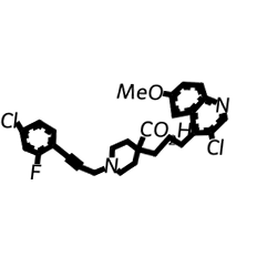 COc1ccc2ncc(Cl)c(CCCC3(C(=O)O)CCN(CC#Cc4ccc(Cl)cc4F)CC3)c2c1